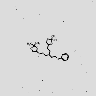 CC1(C)OCC(CCCC(CCOc2ccccc2)CCC2COC(C)(C)O2)O1